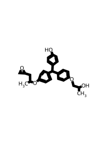 CC(O)COc1ccc(C(c2ccc(O)cc2)c2ccc(OC(C)CC3CO3)cc2)cc1